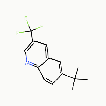 CC(C)(C)c1ccc2ncc(C(F)(F)F)cc2c1